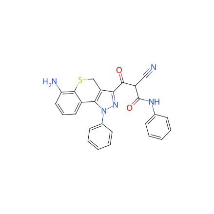 N#CC(C(=O)Nc1ccccc1)C(=O)c1nn(-c2ccccc2)c2c1CSc1c(N)cccc1-2